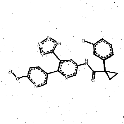 CCOc1ccc(-c2ncc(NC(=O)C3(c4cccc(Cl)c4)CC3)cc2-c2nnn[nH]2)cn1